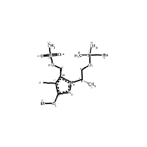 CCOc1nn([C@@H](C)CO[Si](C)(C)C(C)(C)C)c(COS(C)(=O)=O)c1I